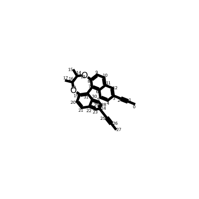 CC#Cc1ccc2c3c(ccc2c1)OC(C)C(C)Oc1ccc2cc(C#CC)ccc2c1-3